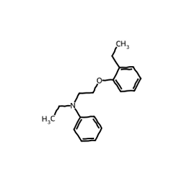 CCc1ccccc1OCCN(CC)c1ccccc1